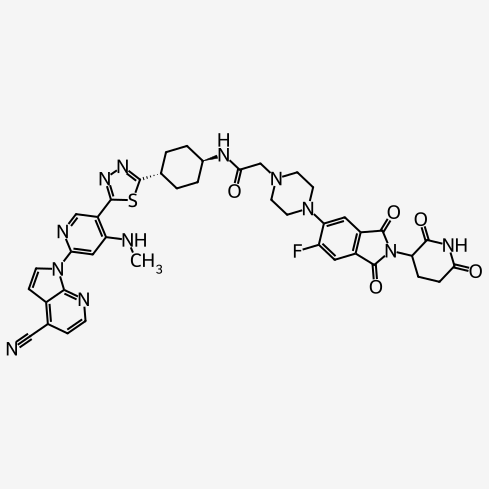 CNc1cc(-n2ccc3c(C#N)ccnc32)ncc1-c1nnc([C@H]2CC[C@H](NC(=O)CN3CCN(c4cc5c(cc4F)C(=O)N(C4CCC(=O)NC4=O)C5=O)CC3)CC2)s1